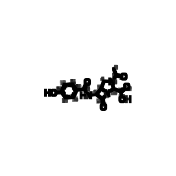 CC(=O)N1CC2[C@H](NC(=O)c3ccc(O)cc3)C(=O)N2C1C(=O)O